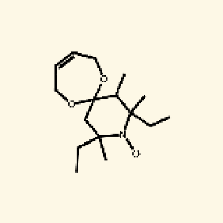 CCC1(C)CC2(OCC=CCO2)C(C)C(C)(CC)N1[O]